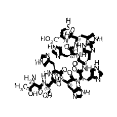 C[C@@H](O)[C@H](N)C(=O)N[C@@H](CO)C(=O)N[C@@H](Cc1c[nH]cn1)C(=O)N[C@@H](Cc1c[nH]cn1)C(=O)N[C@@H](Cc1c[nH]cn1)C(=O)N[C@@H](Cc1c[nH]cn1)C(=O)N[C@@H](Cc1c[nH]cn1)C(=O)N[C@@H](Cc1c[nH]cn1)C(=O)N[C@@H](CS)C(=O)O